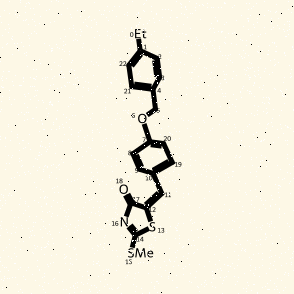 CCc1ccc(COc2ccc(C=C3SC(SC)=NC3=O)cc2)cc1